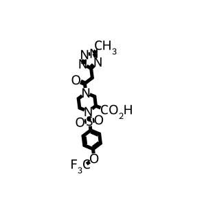 Cn1nnc(CC(=O)N2CCN(S(=O)(=O)c3ccc(OC(F)(F)F)cc3)C(C(=O)O)C2)n1